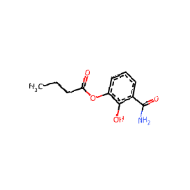 CCCC(=O)Oc1cccc(C(N)=O)c1O